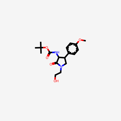 COc1ccc(C2CN(CCO)C(=O)C2NC(=O)OC(C)(C)C)cc1